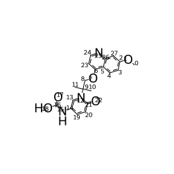 COc1ccc2c(OCC(C)(C)n3cc(NC(=O)O)ccc3=O)ccnc2c1